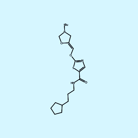 CC(C)(C)N1COC(=COc2ncc(C(=O)NCCCC3CCCC3)s2)C1